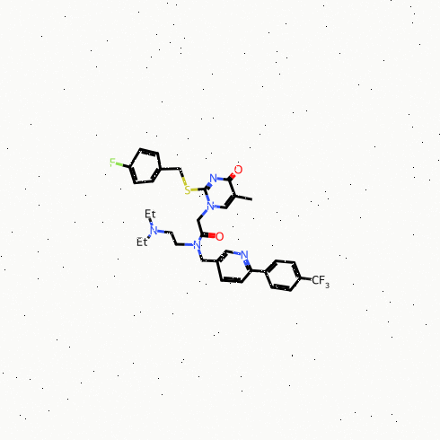 CCN(CC)CCN(Cc1ccc(-c2ccc(C(F)(F)F)cc2)nc1)C(=O)Cn1cc(C)c(=O)nc1SCc1ccc(F)cc1